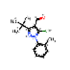 Cc1ccccc1-n1nc(C(C)(C)C)c(C=O)c1Cl